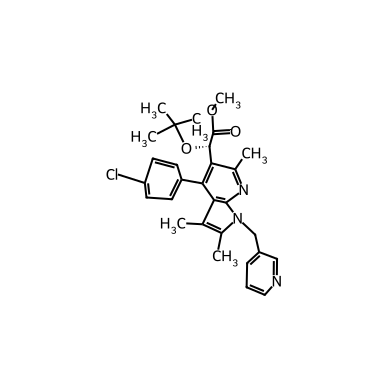 COC(=O)[C@@H](OC(C)(C)C)c1c(C)nc2c(c(C)c(C)n2Cc2cccnc2)c1-c1ccc(Cl)cc1